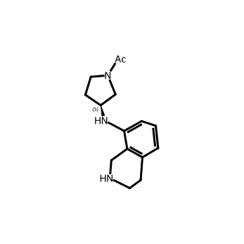 CC(=O)N1CC[C@H](Nc2cccc3c2CNCC3)C1